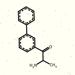 CC(N)C(=O)c1cccc(-c2ccccc2)c1